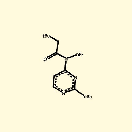 CCCCc1nccc(N(CCC)C(=O)CC(C)(C)C)n1